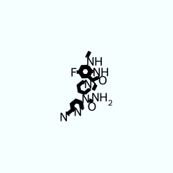 CCNc1cc(F)cc2c1NC(=O)[C@]2(CC)N1CCCC(N(C(N)=O)c2ccc(C#N)nc2)C1